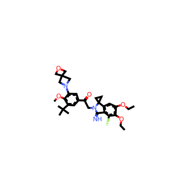 CCOc1cc2c(c(F)c1OCC)C(=N)N(CC(=O)c1cc(N3CC4(COC4)C3)c(OC)c(C(C)(C)C)c1)C21CC1